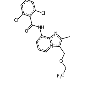 Cc1nc2c(NC(=O)c3c(Cl)cccc3Cl)cccn2c1COCC(F)(F)F